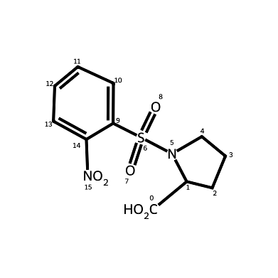 O=C(O)C1CCCN1S(=O)(=O)c1ccccc1[N+](=O)[O-]